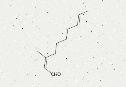 CC=CCCCCC(C)=CC=O